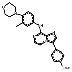 COc1ccc(-c2cnc3c(Nc4ccc(N5CCOCC5)c(C)c4)nccn23)cc1